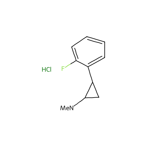 CNC1CC1c1ccccc1F.Cl